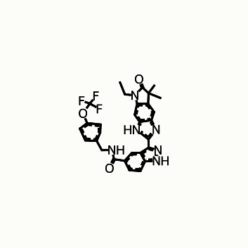 CCN1C(=O)C(C)(C)c2cc3nc(-c4n[nH]c5ccc(C(=O)NCc6ccc(OC(F)(F)F)cc6)cc45)[nH]c3cc21